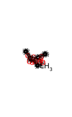 CCC(=O)OOc1cc(-c2oc3cc(OCc4ccccc4)cc(O)c3c(=O)c2OCc2ccccc2)ccc1OCc1ccccc1